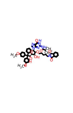 COc1ccc(C(c2ccccc2)(c2ccc(OC)cc2)C(O)[C@H]2O[C@@H](n3cnc4c(=O)[nH]c(NC(=O)C(C)C)nc43)[C@H](OCCCCCN3C(=O)c4ccccc4C3=O)[C@@H]2O)cc1